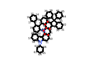 c1ccc(-c2ccccc2-c2c(-c3ccccc3)cccc2N(c2ccc3c(c2)-c2ccccc2C3(c2ccccc2)c2ccccc2)c2cccc3c2c2ccccc2n3-c2ccccc2)cc1